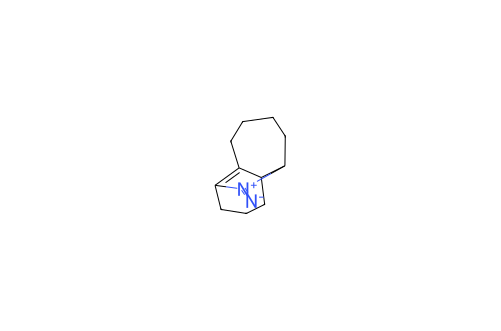 [N-]=[N+]1C2=C3CCCCC1C3CCC2